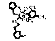 Cc1cc(C)c(S(=O)(=O)N2Cc3ccccc3CC2C(=O)NCCc2cccc(F)c2)c(C)c1